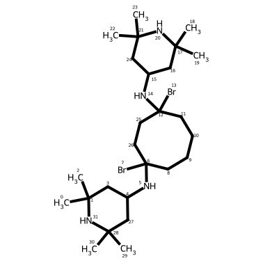 CC1(C)CC(NC2(Br)CCCCC(Br)(NC3CC(C)(C)NC(C)(C)C3)CC2)CC(C)(C)N1